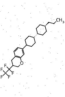 CCC[C@H]1CC[C@H](C2CCC(c3ccc4c(c3)OCC(C(F)(F)C(F)(F)F)C4)CC2)CC1